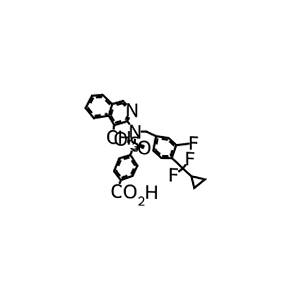 Cc1c(N(Cc2ccc(C(F)(F)C3CC3)c(F)c2)S(=O)(=O)c2ccc(C(=O)O)cc2)ncc2ccccc12